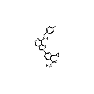 Cc1ccc(CNc2nccn3cc(-c4ccc(C(N)=O)c(C5CC5)c4)nc23)cc1